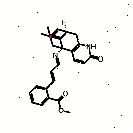 C/C=C1\[C@H]2C=C(C)C[C@]1(/N=C/C=C/c1ccccc1C(=O)OC)c1ccc(=O)[nH]c1C2